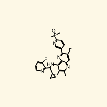 Cc1nc2cc(F)c(-c3ccc(P(C)(C)=O)nc3)nc2c(NC(c2ncccc2F)C2CC2)c1Cl